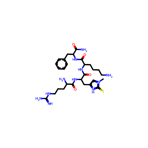 Cn1cc(CC(NC(=O)C(N)CCCNC(=N)N)C(=O)NC(CCCCN)C(=O)NC(Cc2ccccc2)C(N)=O)[nH]c1=S